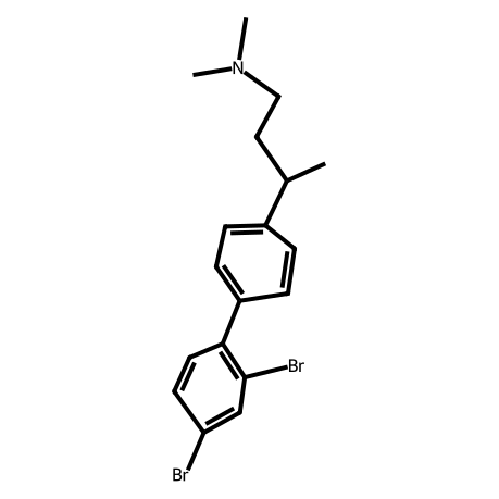 CC(CCN(C)C)c1ccc(-c2ccc(Br)cc2Br)cc1